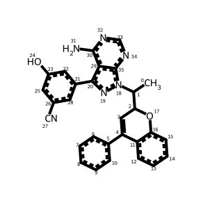 CC(C1C=C(c2ccccc2)c2ccccc2O1)n1nc(-c2cc(O)cc(C#N)c2)c2c(N)ncnc21